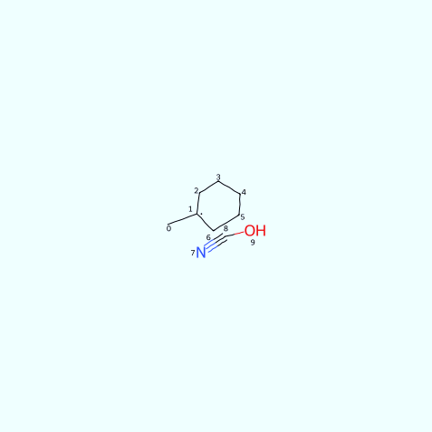 C[C]1CCCCC1.N#CO